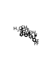 CC(C)(C)OC(=O)n1cccc1-c1ccc(C2(C(=O)O)CCN(c3ccc(C(F)(F)F)cc3C#N)CC2)cn1